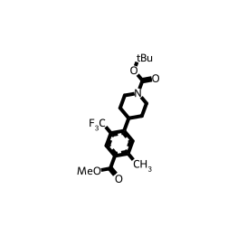 COC(=O)c1cc(C(F)(F)F)c(C2CCN(C(=O)OC(C)(C)C)CC2)cc1C